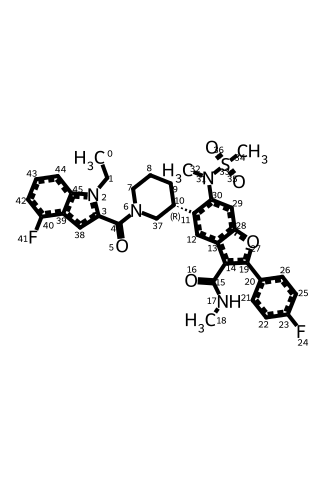 CCn1c(C(=O)N2CCC[C@H](c3cc4c(C(=O)NC)c(-c5ccc(F)cc5)oc4cc3N(C)S(C)(=O)=O)C2)cc2c(F)cccc21